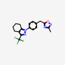 Cc1noc(Cc2ccc(-n3nc(C(F)(F)F)c4c3CCCC4)cc2)n1